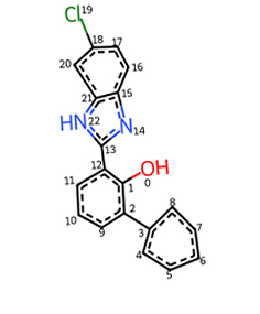 Oc1c(-c2ccccc2)cccc1-c1nc2ccc(Cl)cc2[nH]1